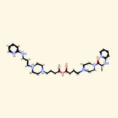 C[C@H](Nc1ccccn1)C(=O)N1CCN(CCCC(=O)OC(=O)CCCN2CCN(CCCNc3ccccn3)CC2)CC1